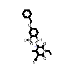 CCN1C(=O)C(C#N)=C(C)/C(=N/Nc2ccc(OCc3ccccc3)cc2[N+](=O)[O-])C1=O